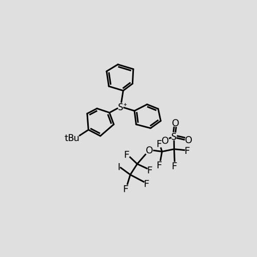 CC(C)(C)c1ccc([S+](c2ccccc2)c2ccccc2)cc1.O=S(=O)([O-])C(F)(F)C(F)(F)OC(F)(F)C(F)(F)I